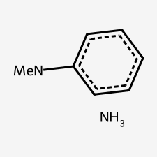 CNc1ccccc1.N